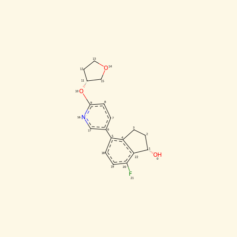 O[C@H]1CCc2c(-c3ccc(O[C@@H]4CCOC4)nc3)ccc(F)c21